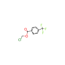 O=C(OCCl)c1ccc(C(F)(F)F)cc1